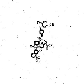 CC(C)N(C(C)C)P(OCCC#N)Oc1ccc(CNC(=O)c2ccc3c(c2)C2(OC3=O)c3cc4c(cc3Oc3cc5c(cc32)CCCN5C(=O)C(F)(F)F)N(C(=O)C(F)(F)F)CCC4)cc1